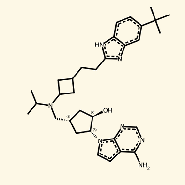 CC(C)N(C[C@@H]1C[C@@H](O)[C@H](n2ccc3c(N)ncnc32)C1)C1CC(CCc2nc3cc(C(C)(C)C)ccc3[nH]2)C1